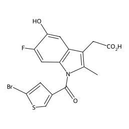 Cc1c(CC(=O)O)c2cc(O)c(F)cc2n1C(=O)c1csc(Br)c1